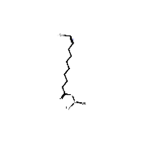 CCCCCCCC/C=C\CCCCCCCC(=O)ON(C)C